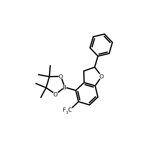 CC1(C)OB(c2c(C(F)(F)F)ccc3c2CC(c2ccccc2)O3)OC1(C)C